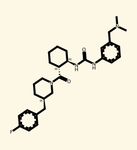 CN(C)Cc1cccc(NC(=O)N[C@@H]2CCCC[C@H]2C(=O)N2CCC[C@H](Cc3ccc(F)cc3)C2)c1